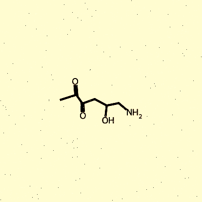 CC(=O)C(=O)CC(O)CN